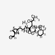 CCC(C)[C@H](NC(=O)[C@H]1CCCCN1C)C(=O)NCCc1nc(C=O)cs1